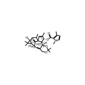 CC1=CC23C(=O)[C@@H](C=C4COC(C)(C)O[C@H]4[C@]2(O)[C@H]1OC(=O)c1c(C)ccn1C)[C@@H]1[C@@H](CC3C)C1(C)C